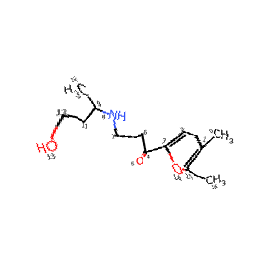 Cc1cc(C(=O)CCNC(C)CCO)oc1C